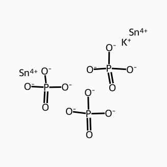 O=P([O-])([O-])[O-].O=P([O-])([O-])[O-].O=P([O-])([O-])[O-].[K+].[Sn+4].[Sn+4]